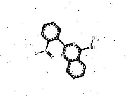 CNc1nc(-c2ccccc2[N+](=O)[O-])nc2ccccc12